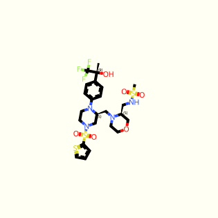 C[C@@](O)(c1ccc(N2CCN(S(=O)(=O)c3cccs3)C[C@@H]2CN2CCOC[C@@H]2CNS(C)(=O)=O)cc1)C(F)(F)F